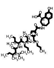 CCCO[C@H](C[C@H](C(C)C)N(CCC)C(=O)[C@@H](NC(=O)[C@@H]([C@@H](C)CC)N(C)C)[C@@H](C)CC)c1nc(C(=O)N[C@H]2CCc3ccc(O)cc3[C@H](C(=O)O)C2)cs1